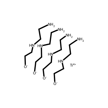 NCCNCC[O-].NCCNCC[O-].NCCNCC[O-].NCCNCC[O-].[Ti+4]